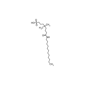 CCCCCCCCCCCCNC(=O)CCC[N+](C)(C)CCCS(=O)(=O)O